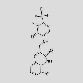 Cn1c(C(F)(F)F)ccc(NCc2cc3cccc(Cl)c3[nH]c2=O)c1=O